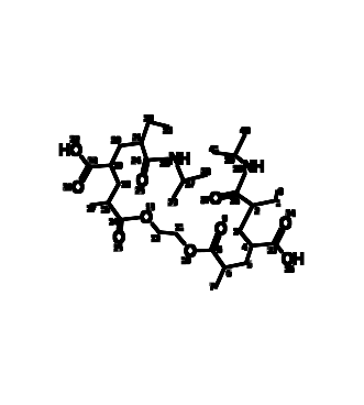 CCC(CC(CC(C)C(=O)OCCOC(=O)C(C)CC(CC(CC)C(=O)NC(C)C)C(=O)O)C(=O)O)C(=O)NC(C)C